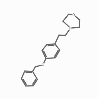 c1ccc(COc2ccc(CCN3CCOCC3)cc2)cc1